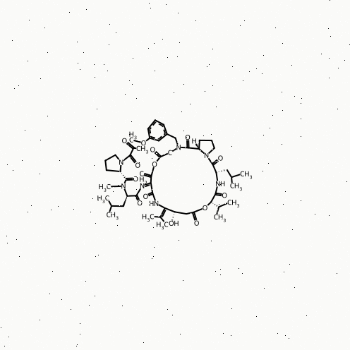 C=C1OC(=O)CN(Cc2cccc(OC)c2)C(=O)[C@@H]2CCCN2C(=O)[C@H](CC(C)C)NC(=O)[C@H](C(C)C)OC(=O)C[C@H](O)C(=C(C)C)NC(=O)/C1=N\C(=O)[C@@H](CC(C)C)N(C)C(=O)[C@@H]1CCCN1C(=O)C(C)=O